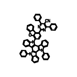 N#Cc1c(-c2ccccc2)nc(-c2ccc(-n3c4ccccc4c4c5c(c6ccccc6n5-c5ccccc5)c5c(c6ccccc6n5-c5ccccc5)c43)c3oc4ccccc4c23)nc1-c1ccccc1